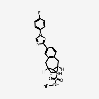 CCCNS(=O)(=O)N[C@H]1[C@@H]2CC[C@H]1Cc1ccc(-c3ncn(-c4ccc(F)cc4)n3)cc1C2